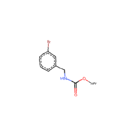 CCCOC(=O)NCc1cccc(Br)c1